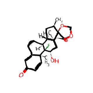 C[C@@H]1C[C@H]2[C@@H]3CCC4=CC(=O)C=C[C@]4(C)[C@@]3(F)[C@@H](O)C[C@]2(C)[C@]12OCOC21COCO1